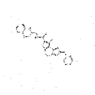 Cc1cccc(Cn2cc3c(n2)-c2c(oc(C(=O)NC[C@H]4COc5ncccc5O4)c2C)CC3)n1